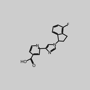 O=C(O)c1ccnc(-c2cn(C3CCc4c(F)cccc43)cn2)c1